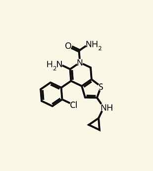 NC(=O)N1Cc2sc(NC3CC3)cc2C(c2ccccc2Cl)=C1N